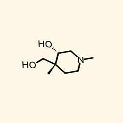 CN1CC[C@](C)(CO)[C@H](O)C1